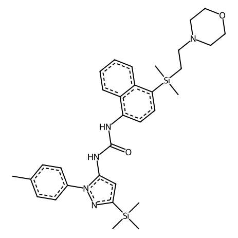 Cc1ccc(-n2nc([Si](C)(C)C)cc2NC(=O)Nc2ccc([Si](C)(C)CCN3CCOCC3)c3ccccc23)cc1